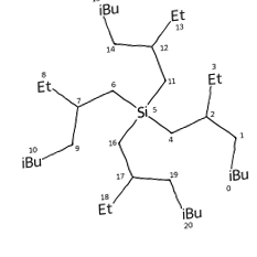 CCC(C)CC(CC)C[Si](CC(CC)CC(C)CC)(CC(CC)CC(C)CC)CC(CC)CC(C)CC